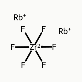 [F][Zr-2]([F])([F])([F])([F])[F].[Rb+].[Rb+]